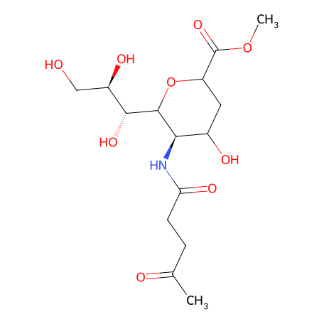 COC(=O)C1CC(O)[C@@H](NC(=O)CCC(C)=O)C([C@H](O)[C@H](O)CO)O1